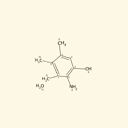 Cc1cc(O)c(N)c(C)c1C.O